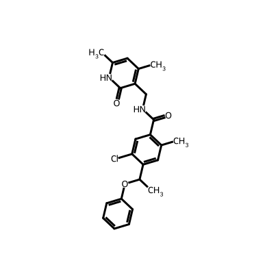 Cc1cc(C)c(CNC(=O)c2cc(Cl)c(C(C)Oc3ccccc3)cc2C)c(=O)[nH]1